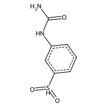 NC(=O)Nc1cccc([SH](=O)=O)c1